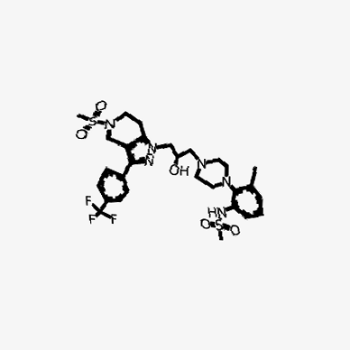 Cc1cccc(NS(C)(=O)=O)c1N1CCN(CC(O)Cn2nc(-c3ccc(C(F)(F)F)cc3)c3c2CCN(S(C)(=O)=O)C3)CC1